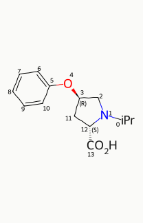 CC(C)N1C[C@H](Oc2ccccc2)C[C@H]1C(=O)O